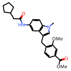 COC(=O)c1ccc(Cc2cn(C)c3ccc(NC(=O)CC4CCCC4)cc23)c(OC)c1